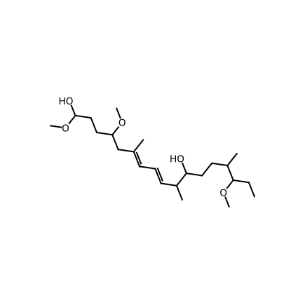 CCC(OC)C(C)CCC(O)C(C)/C=C/C=C(\C)CC(CCC(O)OC)OC